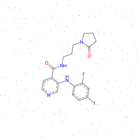 O=C(NCCCN1CCCC1=O)c1ccncc1Nc1ccc(I)cc1F